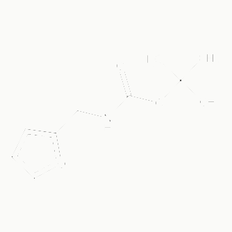 CC(C)(C)OC(=O)NCc1ccco1